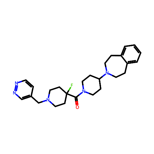 O=C(N1CCC(N2CCc3ccccc3CC2)CC1)C1(F)CCN(Cc2ccnnc2)CC1